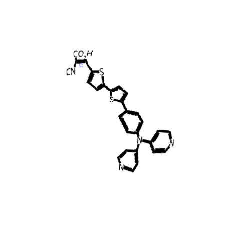 [C-]#[N+]/C(=C\c1ccc(-c2ccc(-c3ccc(N(c4ccncc4)c4ccncc4)cc3)s2)s1)C(=O)O